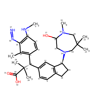 CNc1ccc([C@H](c2ccc3c(c2)[C@@H](N2CC(O)N(C)CC(C)(C)C2)CC3)C(C)(C)C(=O)O)c(C)c1N=N